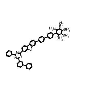 Bc1c(B)c(B)c(-c2ccc(-c3ccc(-c4ccc5c(c4)oc4cc(-c6nc(-c7ccccc7)nc(-c7cccc(-c8ccccc8)c7)n6)ccc45)cc3)cc2)c(B)c1B